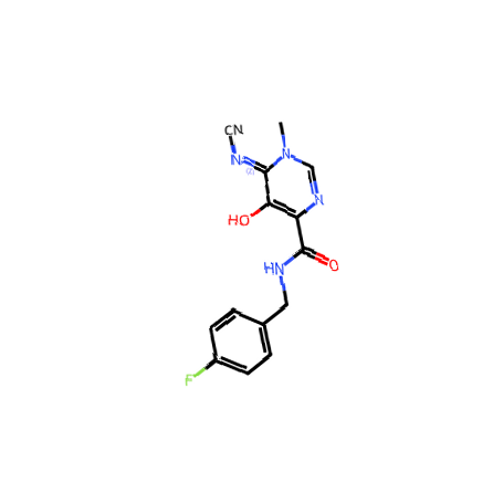 Cn1cnc(C(=O)NCc2ccc(F)cc2)c(O)/c1=N/C#N